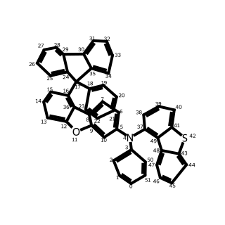 c1ccc(N(c2ccc3c(c2)oc2cccc(C4(c5ccccc5)c5ccccc5-c5ccccc54)c23)c2cccc3sc4ccccc4c23)cc1